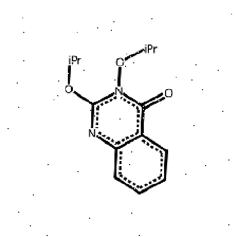 CC(C)Oc1nc2ccccc2c(=O)n1OC(C)C